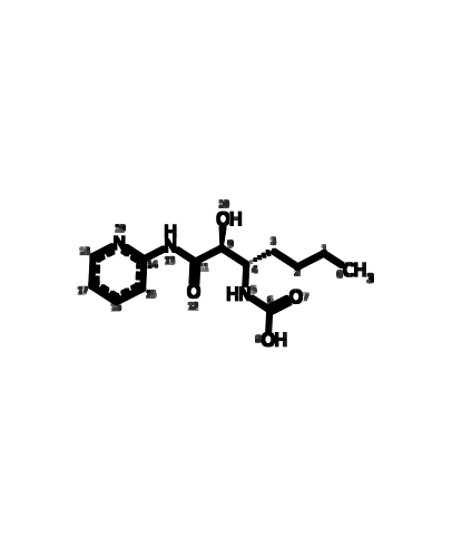 CCCC[C@H](NC(=O)O)[C@H](O)C(=O)Nc1ccccn1